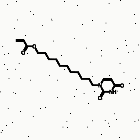 C=CC(=O)OCCCCCCCCCCCn1ccc(=O)[nH]c1=O